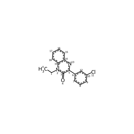 CCn1c(=O)c(-c2cccc(Cl)c2)nc2ccccc21